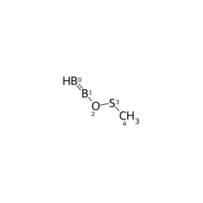 B=BOSC